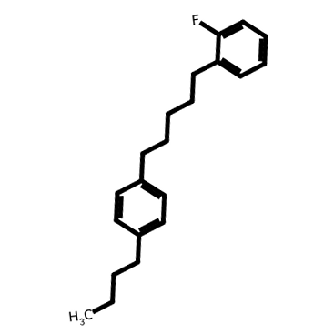 CCCCc1ccc(CCCCCc2ccccc2F)cc1